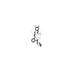 O=C(NC(=O)c1cc(F)c(F)cc1Cl)Nc1ccccc1C(=O)N1CC(F)(F)CC1C(=O)O